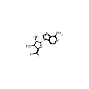 Nc1nccc2c1ncn2[C@@H]1OC(=C(F)F)[C@@H](O)[C@H]1O